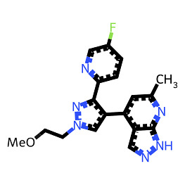 COCCn1cc(-c2cc(C)nc3[nH]ncc23)c(-c2ccc(F)cn2)n1